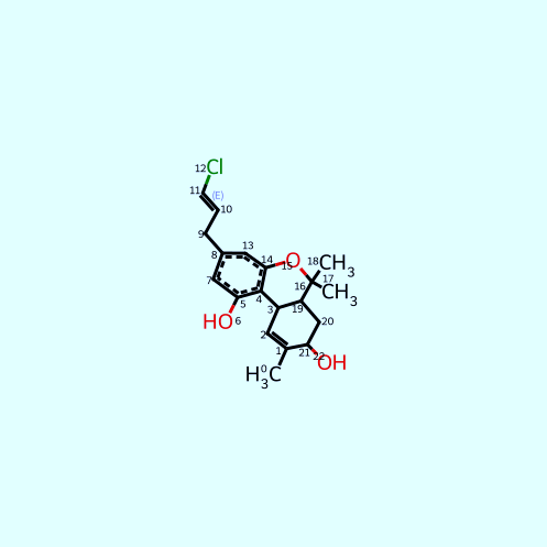 CC1=CC2c3c(O)cc(C/C=C/Cl)cc3OC(C)(C)C2CC1O